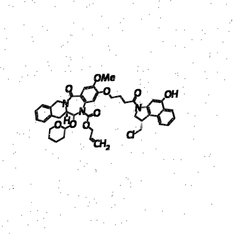 C=CCOC(=O)N1c2cc(OCCCC(=O)N3C[C@@H](CCl)c4c3cc(O)c3ccccc43)c(OC)cc2C(=O)N2Cc3ccccc3C[C@H]2C1OC1CCCCO1